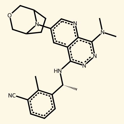 Cc1c(C#N)cccc1[C@@H](C)Nc1nnc(N(C)C)c2ncc(N3C4CCC3COC4)cc12